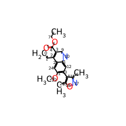 C=Cc1c(C(=O)OCC)cnc2cc(-c3c(C)noc3C)c(OC)cc12